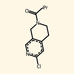 CC(C)C(=O)N1CCc2cc(Cl)ncc2C1